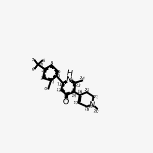 Cc1cc(C(C)(C)C)ccc1-c1cc(=O)c(C2=CCN(C)CC2)c(C)[nH]1